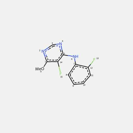 COc1ncnc(Nc2ccccc2F)c1F